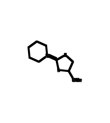 COC1CSC(=[N+]2CCCCC2)S1